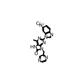 [C-]#[N+]c1ccc2ncn(-c3nc(C)c4[nH]c(=O)n(Cc5cnccn5)c4n3)c2c1